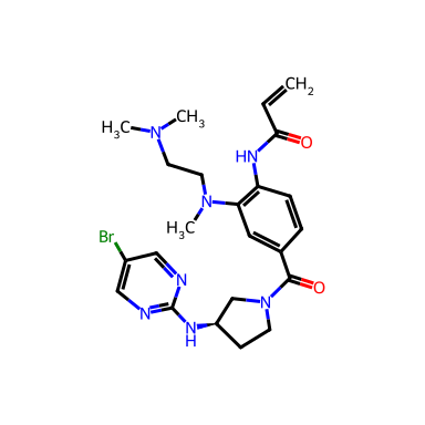 C=CC(=O)Nc1ccc(C(=O)N2CC[C@@H](Nc3ncc(Br)cn3)C2)cc1N(C)CCN(C)C